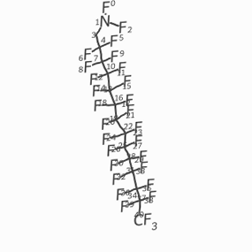 FN(F)CC(F)(F)C(F)(F)C(F)(F)C(F)(F)C(F)(F)C(F)(F)C(F)(F)C(F)(F)C(F)(F)C(F)(F)C(F)(F)C(F)(F)C(F)(F)F